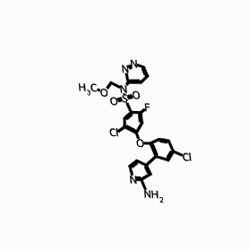 COCN(c1cccnn1)S(=O)(=O)c1cc(Cl)c(Oc2ccc(Cl)cc2-c2ccnc(N)c2)cc1F